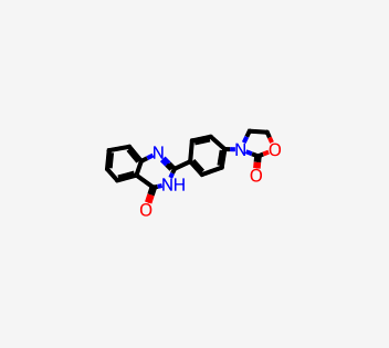 O=C1OCCN1c1ccc(-c2nc3ccccc3c(=O)[nH]2)cc1